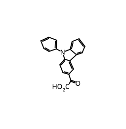 O=C(O)C(=O)c1ccc2c(c1)c1ccccc1n2-c1ccccc1